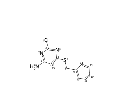 Nc1nc(Cl)nc(SCc2ccccc2)n1